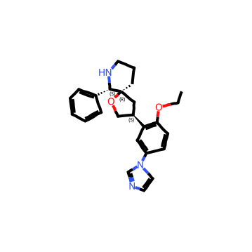 CCOc1ccc(-n2ccnc2)cc1[C@H]1CO[C@]2(CCCN[C@H]2c2ccccc2)C1